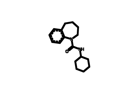 O=C(NC1CCCCC1)N1CCCCc2ccccc21